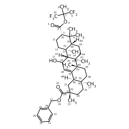 CC1(C)[C@@H](C(=O)OC(C)(C(F)(F)F)C(F)(F)F)CC[C@]2(C)[C@H]3C(O)C=C4[C@@H]5C[C@@](C)(C(=O)OCc6ccccc6)CC[C@]5(C)CC[C@@]4(C)[C@]3(C)CC[C@@H]12